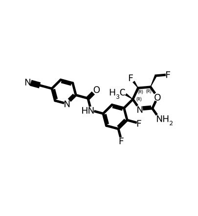 C[C@]1(c2cc(NC(=O)c3ccc(C#N)cn3)cc(F)c2F)N=C(N)O[C@H](CF)[C@@H]1F